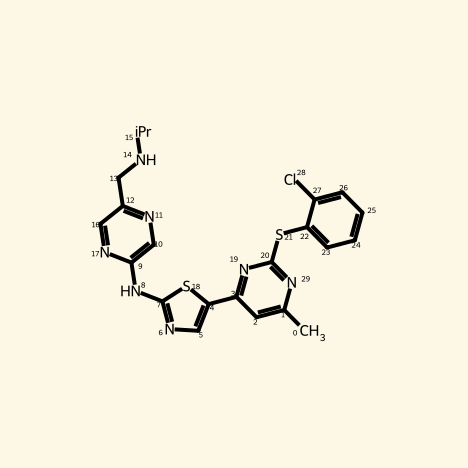 Cc1cc(-c2cnc(Nc3cnc(CNC(C)C)cn3)s2)nc(Sc2ccccc2Cl)n1